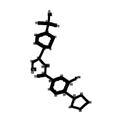 CCS(=O)(=O)c1ccc([C@H](CC#N)NC(=O)c2ccc(N3CCCC3)c(F)c2)cc1